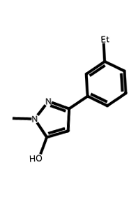 CCc1cccc(-c2cc(O)n(C)n2)c1